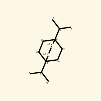 CC(C)C12CCC(C(C)C)(CC1)CC2